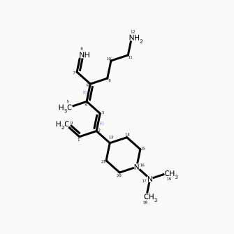 C=C/C(=C\C(C)=C(\C=N)CCCN)C1CCN(N(C)C)CC1